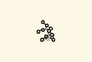 CC1(C)c2ccccc2-c2ccc3c4c5ccccc5c(N(c5ccc(-c6ccccc6)cc5)c5cccc(-c6ccccc6)c5)cc4n(-c4ccc(-c5ccccc5)cc4)c3c21